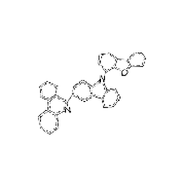 c1ccc2c(c1)nc(-c1ccc3c(c1)c1ccccc1n3-c1cccc3c1oc1ccccc13)c1ccccc12